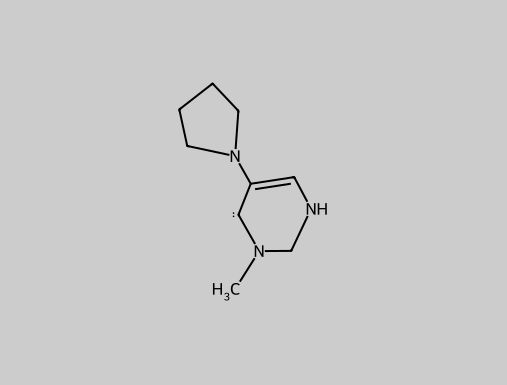 CN1[C]C(N2CCCC2)=CNC1